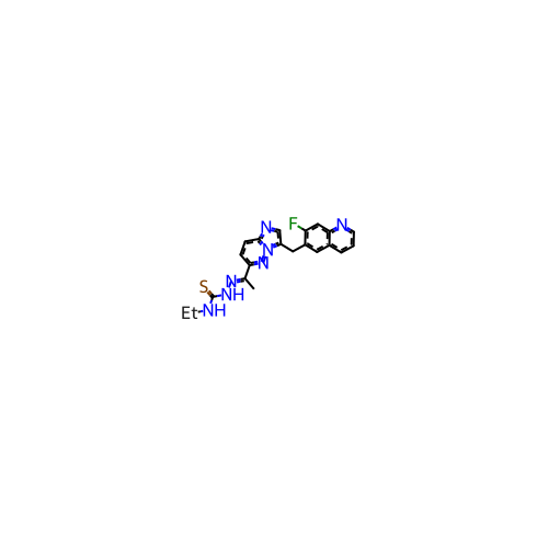 CCNC(=S)N/N=C(\C)c1ccc2ncc(Cc3cc4cccnc4cc3F)n2n1